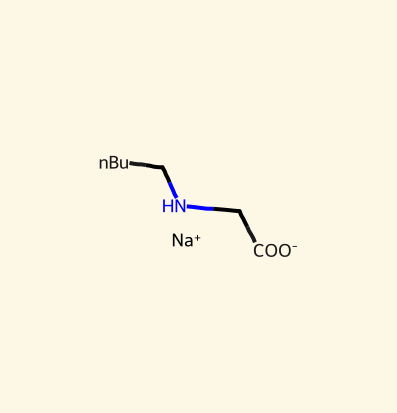 CCCCCNCC(=O)[O-].[Na+]